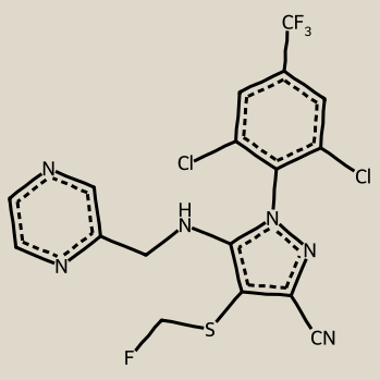 N#Cc1nn(-c2c(Cl)cc(C(F)(F)F)cc2Cl)c(NCc2cnccn2)c1SCF